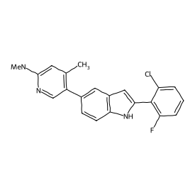 CNc1cc(C)c(-c2ccc3[nH]c(-c4c(F)cccc4Cl)cc3c2)cn1